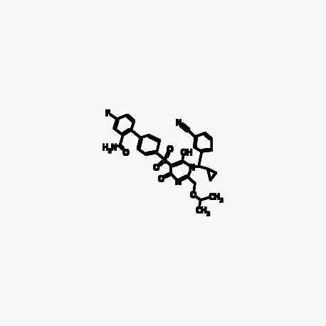 CC(C)OCc1nc(=O)c(S(=O)(=O)c2ccc(-c3ccc(F)cc3C(N)=O)cc2)c(O)n1C(c1cccc(C#N)c1)C1CC1